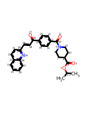 CC(C)OC(=O)C1CCN(C(=O)c2ccc(C(=O)C=Cc3ccc4ccccc4n3)cc2)CC1